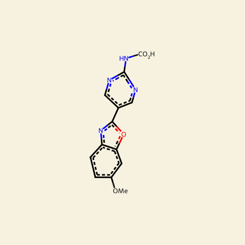 COc1ccc2nc(-c3cnc(NC(=O)O)nc3)oc2c1